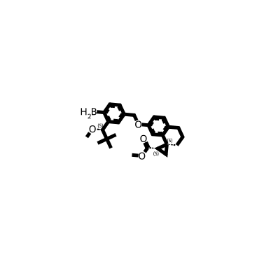 Bc1ccc(COc2ccc3c(c2)[C@@]2(CCC3)C[C@@H]2C(=O)OC)cc1[C@@H](OC)C(C)(C)C